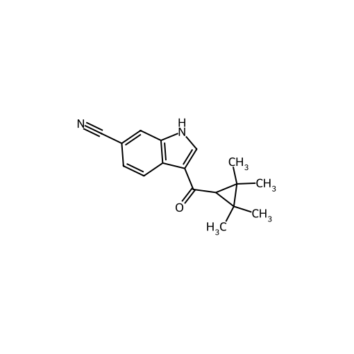 CC1(C)C(C(=O)c2c[nH]c3cc(C#N)ccc23)C1(C)C